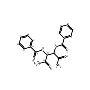 NC(=O)C(OC(=O)c1ccccc1)C(OC(=O)c1ccccc1)C(N)=O